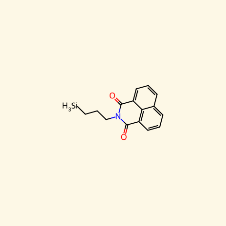 O=C1c2cccc3cccc(c23)C(=O)N1CCC[SiH3]